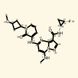 CNc1cc(Nc2cccn(C3CC(OC)C3)c2=O)nc2c(C(=O)N[C@@H]3C[C@@H]3F)cnn12